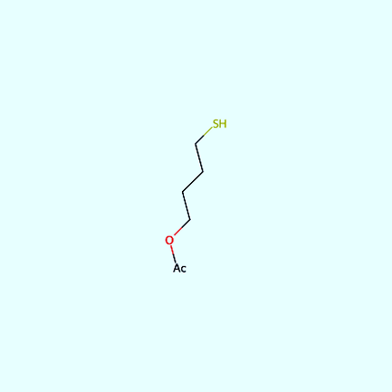 CC(=O)OCCCCS